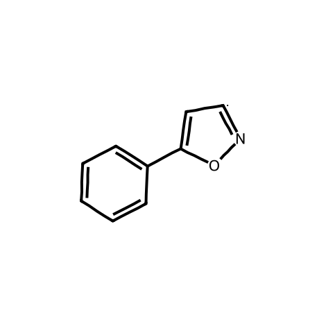 [c]1cc(-c2ccccc2)on1